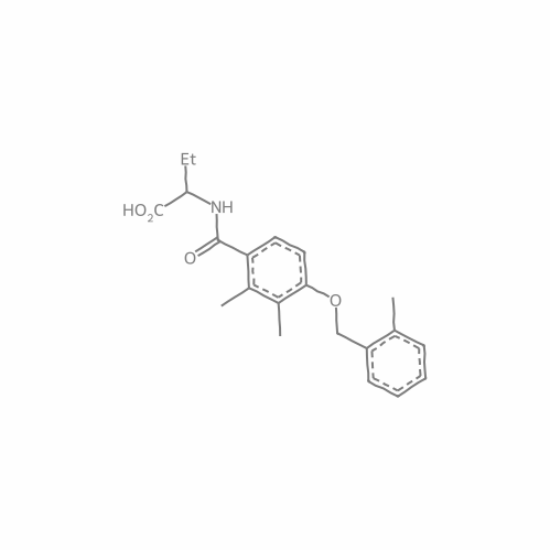 CCC(NC(=O)c1ccc(OCc2ccccc2C)c(C)c1C)C(=O)O